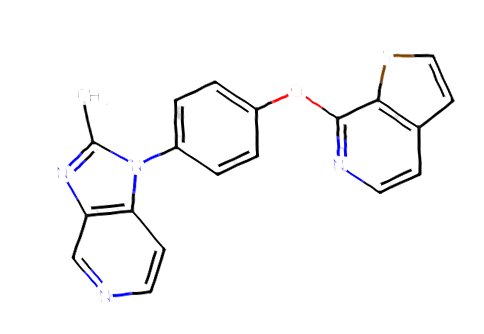 Cc1nc2cnccc2n1-c1ccc(Oc2nccc3ccsc23)cc1